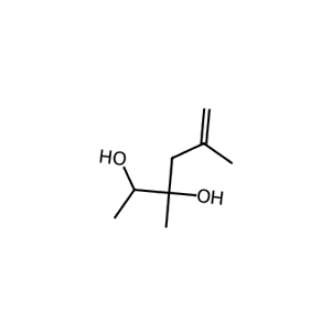 C=C(C)CC(C)(O)C(C)O